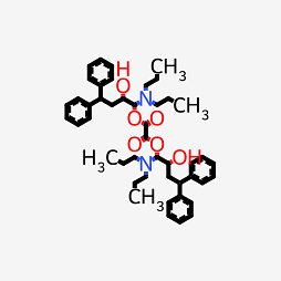 CCCN(CCC)C(OC(=O)C(=O)OC(C(O)CC(c1ccccc1)c1ccccc1)N(CCC)CCC)C(O)CC(c1ccccc1)c1ccccc1